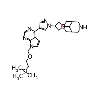 C[Si](C)(C)CCOCn1ccc2c(-c3cnn([C]4CN(C5C6CNCC5COC6)C4)c3)ncnc21